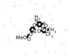 COC(=O)COc1ccc(Oc2cc(-n3c(=O)cc(C(F)(F)F)n(C)c3=O)c(F)cc2N)cn1